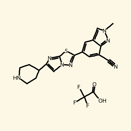 Cn1cc2cc(-c3nn4cc(C5CCNCC5)nc4s3)cc(C#N)c2n1.O=C(O)C(F)(F)F